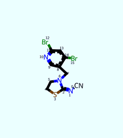 N#C/N=C1/SCCN1Cc1cnc(Br)cc1Br